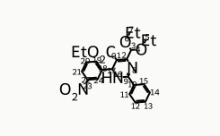 CCOC(=O)C1=C(C(OCC)OCC)N=C(c2ccccc2)NC1c1cccc([N+](=O)[O-])c1